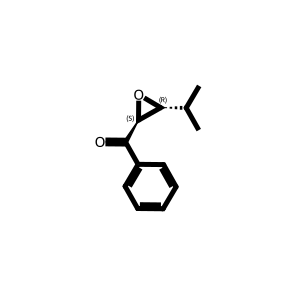 CC(C)[C@H]1O[C@@H]1C(=O)c1ccccc1